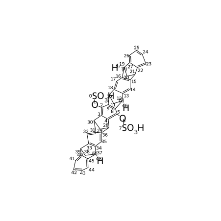 O=S(=O)(O)Oc1c2c(c(OS(=O)(=O)O)c3c1C1C[C@H]3c3cc4c(cc31)[C@@H]1CC4c3ccccc31)C1CC2c2cc3c(cc21)[C@@H]1CC3c2ccccc21